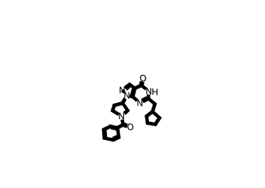 O=C(c1ccccc1)N1CCC(n2ncc3c(=O)[nH]c(CC4CCCC4)nc32)C1